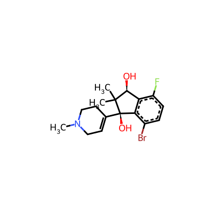 CN1CC=C([C@@]2(O)c3c(Br)ccc(F)c3[C@H](O)C2(C)C)CC1